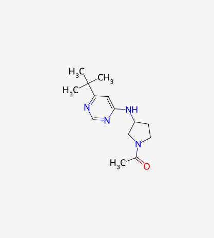 CC(=O)N1CCC(Nc2cc(C(C)(C)C)ncn2)C1